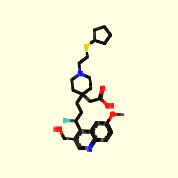 COc1ccc2ncc(CO)c([C@@H](F)CCC3(CC(=O)O)CCN(CCSC4CCCC4)CC3)c2c1